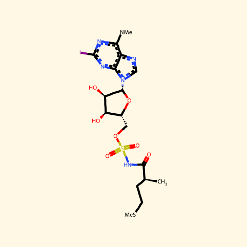 CNc1nc(I)nc2c1ncn2[C@@H]1O[C@H](COS(=O)(=O)NC(=O)[C@@H](C)CCSC)[C@@H](O)[C@H]1O